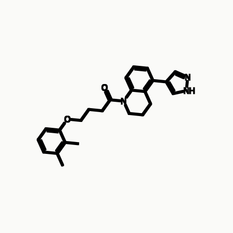 Cc1cccc(OCCCC(=O)N2CCCc3c(-c4cn[nH]c4)cccc32)c1C